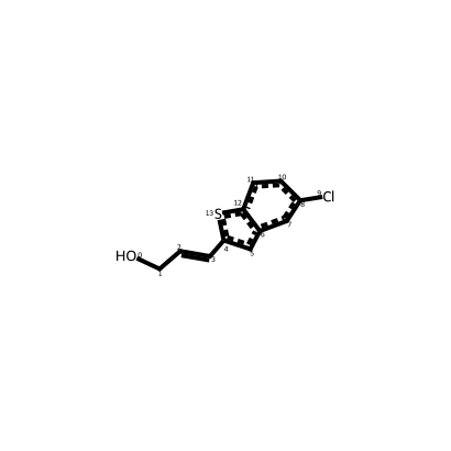 OCC=Cc1cc2cc(Cl)ccc2s1